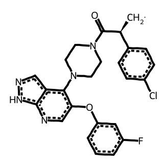 [CH2][C@H](C(=O)N1CCN(c2c(Oc3cccc(F)c3)cnc3[nH]ncc23)CC1)c1ccc(Cl)cc1